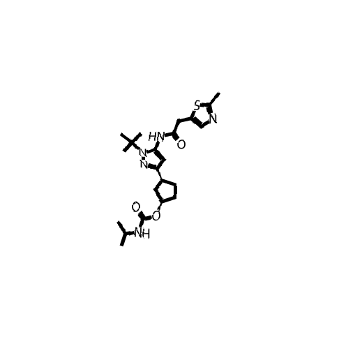 Cc1ncc(CC(=O)Nc2cc([C@H]3CC[C@@H](OC(=O)NC(C)C)C3)nn2C(C)(C)C)s1